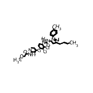 CCCCc1cc(NC(=O)Nc2ccc(Oc3ccnc(NC(=O)COC)c3)c(Cl)c2Cl)n(-c2ccc(C)cc2)n1